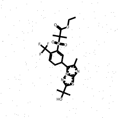 CCOC(=O)C(C)(C)S(=O)(=O)C1=CC(c2c(C)nc3sc(C(C)(C)O)nn23)CC=C1C(F)(F)F